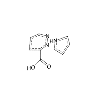 O=C(O)c1cccnn1.c1cc[nH]c1